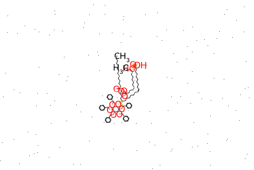 CCCCCCCCCCCCCC(=O)OCC(CC(CCCCCC/C=C\CCCCCCCCP(=O)(O)O)SO[C@@H]1[C@@H](OCc2ccccc2)[C@H](OCc2ccccc2)[C@@H](OCc2ccccc2)[C@H](OCc2ccccc2)[C@@H]1OCc1ccccc1)OC(=O)CCCCCCCCCCCCC